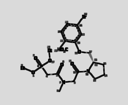 CCOP(=O)(CC(=O)N(C)CC(=O)N1CCC[C@H]1COc1cc(Br)ccc1C(=O)O)OCC